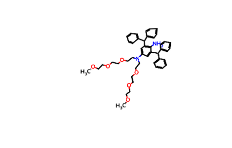 COCCOCCOCCN(CCOCCOCCOC)c1cc(C(c2ccccc2)c2ccccc2)c(N)c(C(c2ccccc2)c2ccccc2)c1